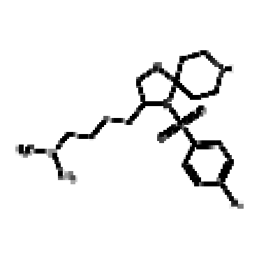 CC(=O)c1ccc(S(=O)(=O)N2C(CCCCN(C)C)COC23CCNCC3)cc1